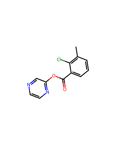 Cc1cccc(C(=O)Oc2cnccn2)c1Cl